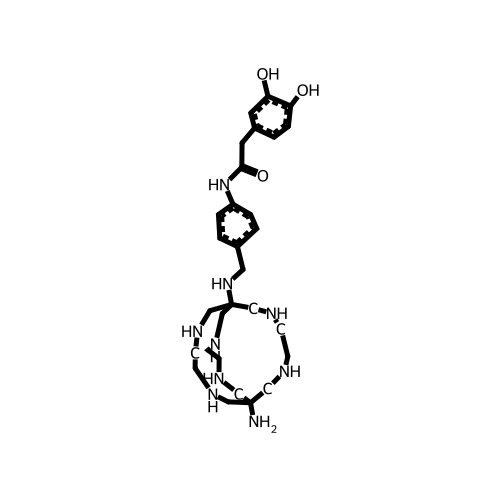 NC12CNCCNCC(NCc3ccc(NC(=O)Cc4ccc(O)c(O)c4)cc3)(CNCCNC1)CNCCNC2